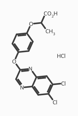 CC(Oc1ccc(Oc2cnc3cc(Cl)c(Cl)cc3n2)cc1)C(=O)O.Cl